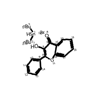 CCC[CH2][SnH]([Br])[CH2]CCC.O=c1c(O)c(-c2ccccc2)oc2ccccc12